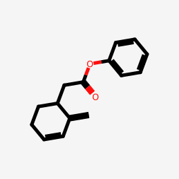 C=C1C=CCCC1CC(=O)Oc1ccccc1